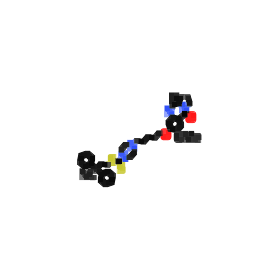 COc1cc2c(cc1OCCCCCN1CCN(C(=S)SCCC(C#N)(c3ccccc3)c3ccccc3)CC1)N=C[C@@H]1CCCN1C2=O